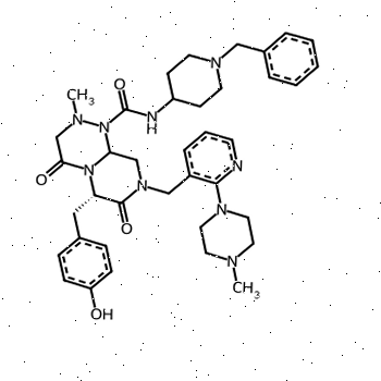 CN1CCN(c2ncccc2CN2CC3N(C(=O)CN(C)N3C(=O)NC3CCN(Cc4ccccc4)CC3)[C@@H](Cc3ccc(O)cc3)C2=O)CC1